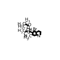 Cc1cc2ncccc2c(Br)c1[C@H](COC(=O)C(C)(C)C)OC(C)(C)C